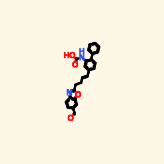 O=Cc1ccc2nc(CCC=Cc3ccc(-c4ccccc4)c(NC(=O)O)c3)oc2c1